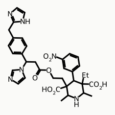 CCC1(C(=O)O)C(C)NC(C)C(CCOC(=O)CC(c2ccc(Cc3ncc[nH]3)cc2)n2ccnc2)(C(=O)O)C1c1cccc([N+](=O)[O-])c1